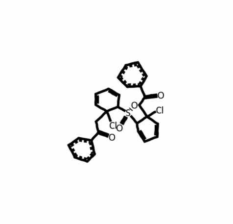 O=C(CC1(Cl)C=CC=CC1S(=O)(=O)C1C=CC=CC1(Cl)CC(=O)c1ccccc1)c1ccccc1